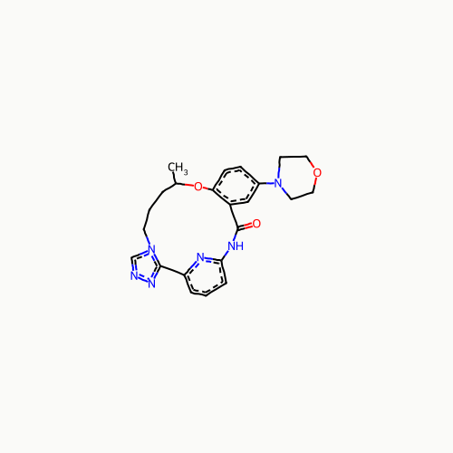 CC1CCCn2cnnc2-c2cccc(n2)NC(=O)c2cc(N3CCOCC3)ccc2O1